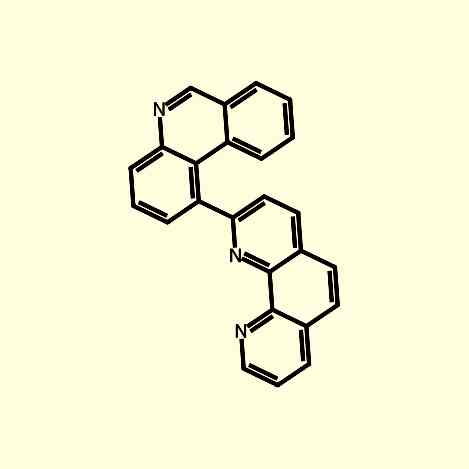 c1ccc2c(c1)cnc1cccc(-c3ccc4ccc5cccnc5c4n3)c12